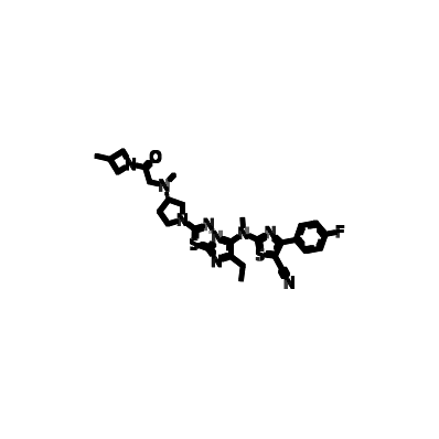 CCc1nc2sc(N3CC[C@H](N(C)CC(=O)N4CC(C)C4)C3)nn2c1N(C)c1nc(-c2ccc(F)cc2)c(C#N)s1